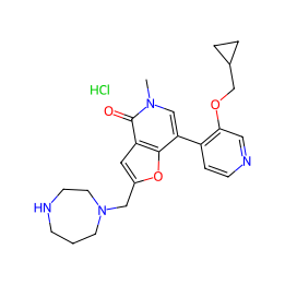 Cl.Cn1cc(-c2ccncc2OCC2CC2)c2oc(CN3CCCNCC3)cc2c1=O